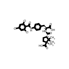 CC1(C)[C@@H](C(=O)N[C@@H](Cc2ccc(NC(=O)c3c(Cl)cc(Cl)cc3Cl)cc2)C(=O)O)CC[C@@]1(C)C(=O)O